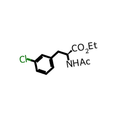 CCOC(=O)[C@H](Cc1cccc(Cl)c1)NC(C)=O